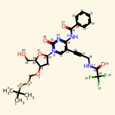 CC(C)(C)SSCOC1C[C@H](n2cc(C#CCNC(=O)C(F)(F)F)c(NC(=O)c3ccccc3)nc2=O)O[C@@H]1CO